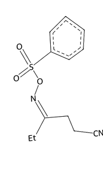 CCC(CCC#N)=NOS(=O)(=O)c1ccccc1